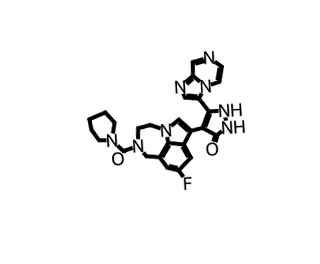 O=C(N1CCCCC1)N1CCn2cc(-c3c(-c4cnc5cnccn45)[nH][nH]c3=O)c3cc(F)cc(c32)C1